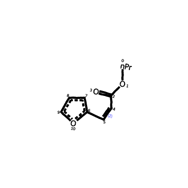 CCCOC(=O)/C=C\c1ccco1